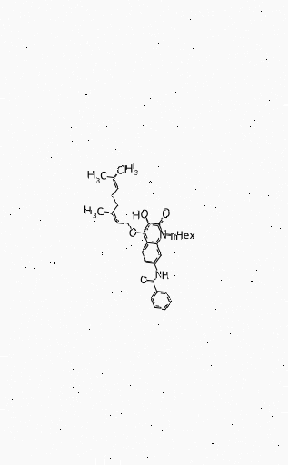 CCCCCCn1c(=O)c(O)c(OCC=C(C)CCC=C(C)C)c2ccc(NC(=O)c3ccccc3)cc21